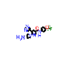 NC[C@H]1CCN(c2ncc(C(=O)Nc3ccc(OC(F)(F)F)cc3)cc2-c2cncnc2)C1